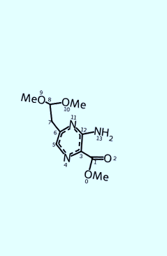 COC(=O)c1ncc(CC(OC)OC)nc1N